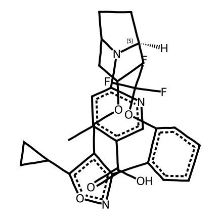 Cc1cc(N2C3CC[C@H]2CC(OCc2c(-c4ccccc4OC(F)(F)F)noc2C2CC2)C3)ncc1C(=O)O